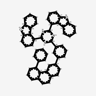 c1ccc(-c2cccc3ccc4ccc(-c5cccc(-c6nc(-c7cccc8oc9ccccc9c78)nc(-c7cccc8oc9ccccc9c78)n6)c5)cc4c23)cc1